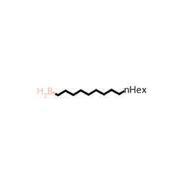 BCCCCCCCCCCCCCCC